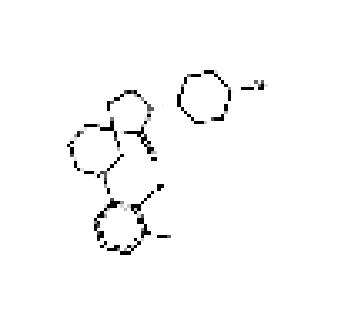 O=C1N([C@H]2CC[C@H](O)CC2)CCC12CCCN(c1cccc(F)c1Br)C2